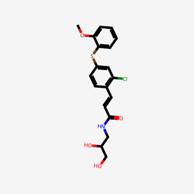 COc1ccccc1Sc1ccc(/C=C/C(=O)NCC(O)CO)c(Cl)c1